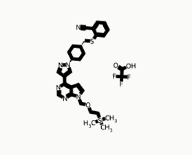 C[Si](C)(C)CCOCn1ccc2c(-c3cnn([C@H]4CC[C@@H](CSc5ccccc5C#N)CC4)c3)ncnc21.O=C(O)C(F)(F)F